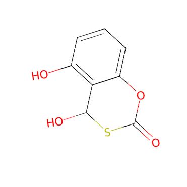 O=C1Oc2cccc(O)c2C(O)S1